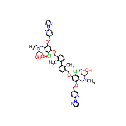 Cc1c(COc2cc(OCc3ccc(-n4cccn4)nc3)c(CN(C)C(CO)CO)cc2Cl)cccc1-c1cccc(COc2cc(OCc3ccc(-n4cccn4)nc3)c(CN(C)C(CO)CO)cc2Cl)c1C